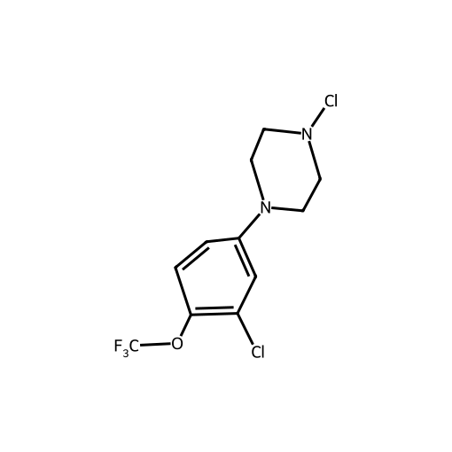 FC(F)(F)Oc1ccc(N2CCN(Cl)CC2)cc1Cl